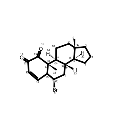 C[C@@]12CCC[C@H]1[C@@H]1C[C@@H](Br)C3C=CC(=O)C(=O)[C@]3(C)[C@H]1CC2